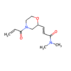 C=CC(=O)N1CCOC(/C=C/C(=O)N(C)C)C1